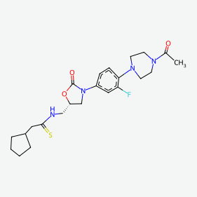 CC(=O)N1CCN(c2ccc(N3C[C@H](CNC(=S)CC4CCCC4)OC3=O)cc2F)CC1